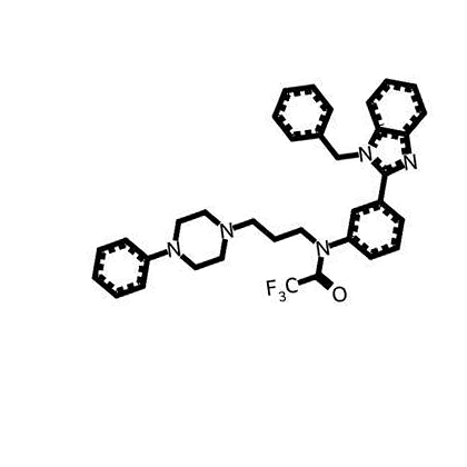 O=C(N(CCCN1CCN(c2ccccc2)CC1)c1cccc(-c2nc3ccccc3n2Cc2ccccc2)c1)C(F)(F)F